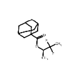 CC(OC(=O)C12CC3CC(CC(C3)C1)C2)C(C)(F)F